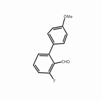 COc1ccc(-c2cccc(F)c2C=O)cc1